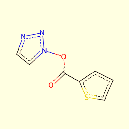 O=C(On1ccnn1)c1cccs1